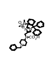 CN(Cc1nc(CN(C(=O)O)C2CCN(Cc3ccccc3)CC2)cn1C(c1ccccc1)(c1ccccc1)c1ccccc1)S(C)(=O)=O